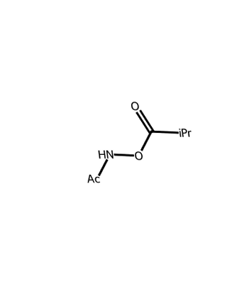 CC(=O)NOC(=O)C(C)C